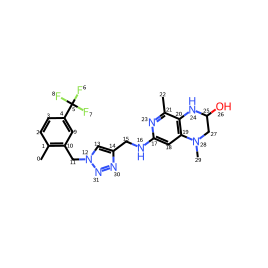 Cc1ccc(C(F)(F)F)cc1Cn1cc(CNc2cc3c(c(C)n2)NC(O)CN3C)nn1